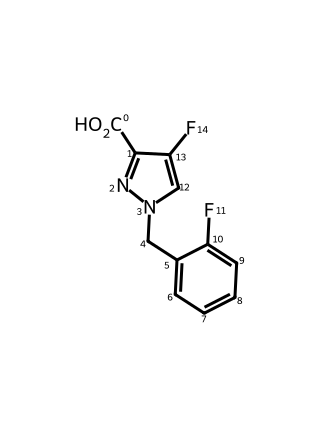 O=C(O)c1nn(Cc2ccccc2F)cc1F